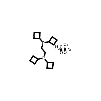 C1CC(P(CCP(C2CCC2)C2CCC2)C2CCC2)C1.C=O.C=O.[Ni]